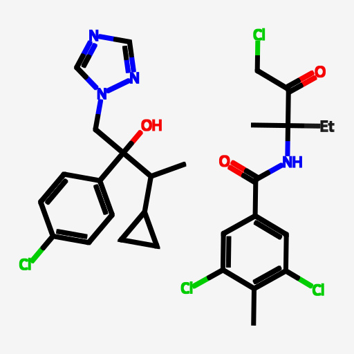 CC(C1CC1)C(O)(Cn1cncn1)c1ccc(Cl)cc1.CCC(C)(NC(=O)c1cc(Cl)c(C)c(Cl)c1)C(=O)CCl